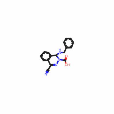 N#CC1=NN(C(=O)O)C(NCc2ccccc2)c2ccccc21